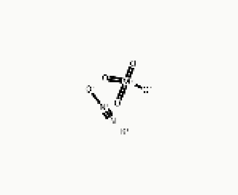 N#[N+][O-].[K+].[O]=[Mn](=[O])(=[O])[O-]